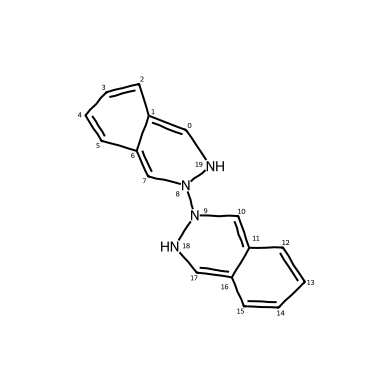 C1=c2ccccc2=CN(N2C=c3ccccc3=CN2)N1